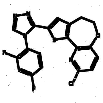 Fc1ccc(-n2cnnc2-c2cc3c(s2)-c2nc(Cl)ccc2OCC3)c(F)c1